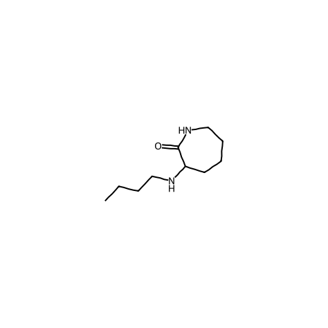 CCCCNC1CCCCNC1=O